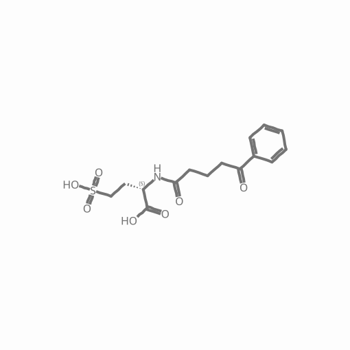 O=C(CCCC(=O)c1ccccc1)N[C@@H](CCS(=O)(=O)O)C(=O)O